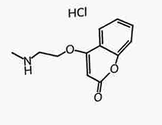 CNCCOc1cc(=O)oc2ccccc12.Cl